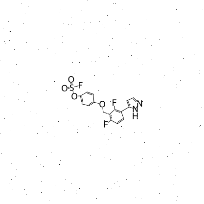 O=S(=O)(F)Oc1ccc(OCc2c(F)ccc(-c3ccn[nH]3)c2F)cc1